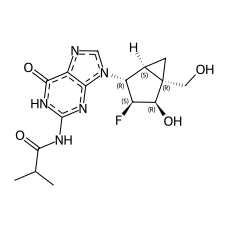 CC(C)C(=O)Nc1nc2c(ncn2[C@H]2[C@H](F)[C@H](O)[C@]3(CO)C[C@H]23)c(=O)[nH]1